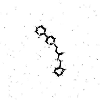 O=C(CC[n+]1ccc(-c2ccncn2)cn1)OCc1ccccc1